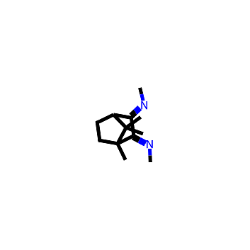 C/N=C1/C(=N/C)C2(C)CCC1C2(C)C